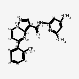 Cc1cc(C)nc(NC(=O)c2cnn3ccc(-c4ccccc4C(F)(F)F)nc23)c1